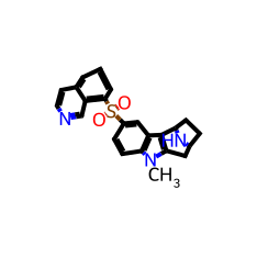 Cn1c2c(c3cc(S(=O)(=O)c4cccc5ccncc45)ccc31)C1CCC(C2)N1